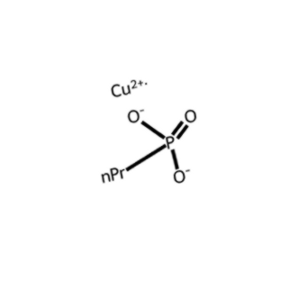 CCCP(=O)([O-])[O-].[Cu+2]